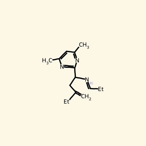 C=C(CC)CC(/N=C/CC)c1nc(C)cc(C)n1